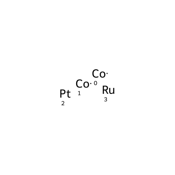 [Co].[Co].[Pt].[Ru]